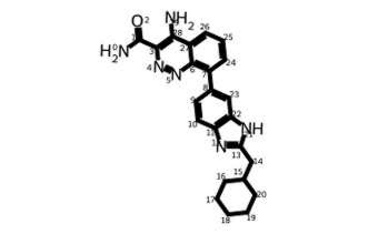 NC(=O)c1nnc2c(-c3ccc4nc(CC5CCCCC5)[nH]c4c3)cccc2c1N